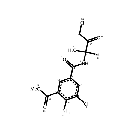 CCC(C)(NC(=O)c1cc(Cl)c(N)c(C(=O)OC)c1)C(=O)CCl